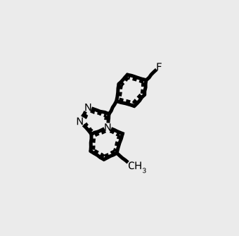 Cc1ccc2nnc(-c3ccc(F)cc3)n2c1